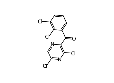 O=C(c1cccc(Cl)c1Cl)c1ncc(Cl)nc1Cl